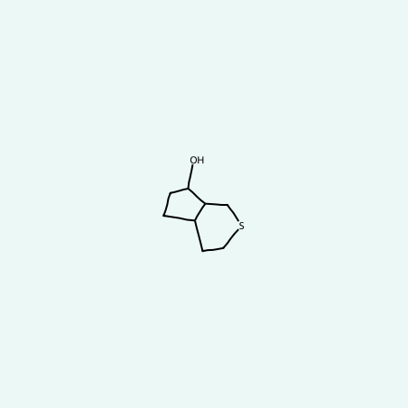 OC1CCC2CCSCC12